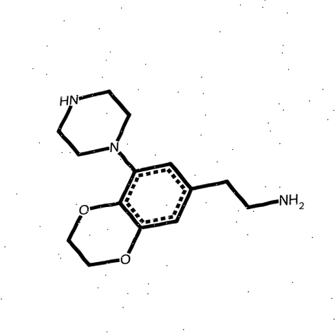 NCCc1cc2c(c(N3CCNCC3)c1)OCCO2